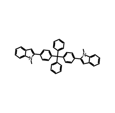 Cn1c(-c2ccc(C(c3ccccc3)(c3ccccc3)c3ccc(-c4cc5ccccc5n4C)cc3)cc2)cc2ccccc21